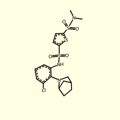 CN(C)S(=O)(=O)c1ccc(S(=O)(=O)Nc2cccc(Cl)c2N2CC3CCC2C3)s1